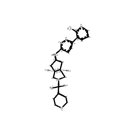 [2H]C([2H])(C1CCOCC1)N1C[C@H]2CC(Nc3ccc(-c4cccnc4C(F)(F)F)nn3)C[C@H]2C1